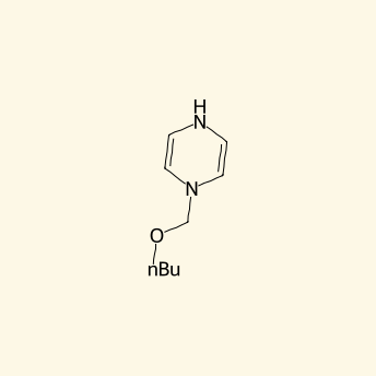 CCCCOCN1C=CNC=C1